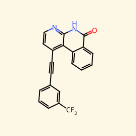 O=c1[nH]c2nccc(C#Cc3cccc(C(F)(F)F)c3)c2c2ccccc12